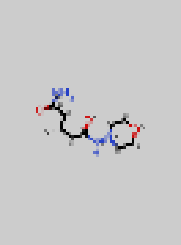 C[C@@H]([CH]C(=O)NN1CCOCC1)CC(N)=O